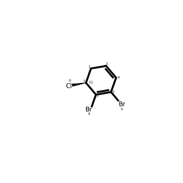 Cl[C@H]1CC=CC(Br)=C1Br